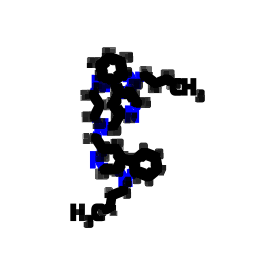 CCCCn1c2ccccc2c2cc(CN(CCCN)Cc3cc4c5ccccc5n(CCCC)c4cn3)ncc21